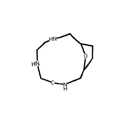 C1CNCC2CCC(CNCCN1)O2